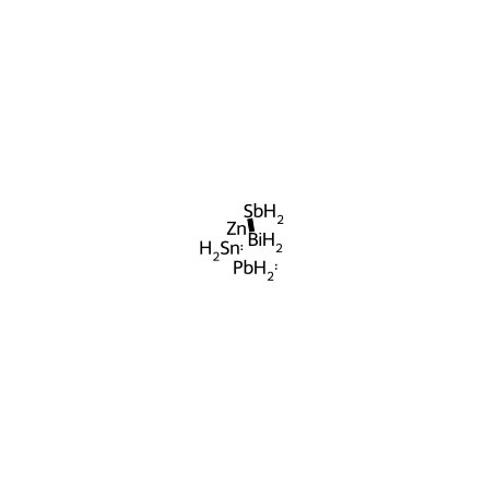 [PbH2].[SbH2][BiH2].[SnH2].[Zn]